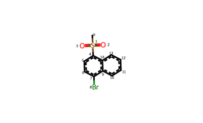 CS(=O)(=O)c1ccc(Br)c2ccccc12